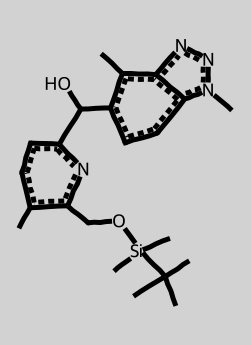 Cc1ccc(C(O)c2ccc3c(nnn3C)c2C)nc1CO[Si](C)(C)C(C)(C)C